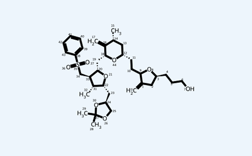 C=C1C[C@H](CCCO)OC1CC[C@H]1C[C@@H](C)C(=C)[C@@H](C[C@@H]2O[C@H](C[C@H]3COC(C)(C)O3)[C@H](C)[C@H]2CS(=O)(=O)c2ccccc2)O1